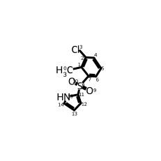 Cc1c(Cl)cccc1S(=O)(=O)c1ccc[nH]1